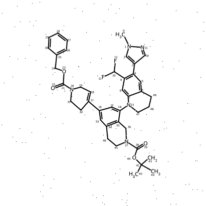 Cn1cc(-c2cc3c(cc2C(F)F)N(c2cc(C4=CCN(C(=O)OCc5ccccc5)CC4)cc4c2CN(C(=O)OC(C)(C)C)CC4)CCC3)cn1